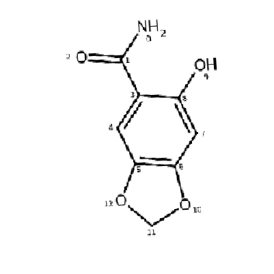 NC(=O)c1cc2c(cc1O)OCO2